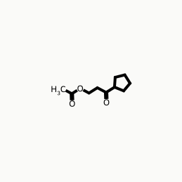 CC(=O)OCCC(=O)C1CCCC1